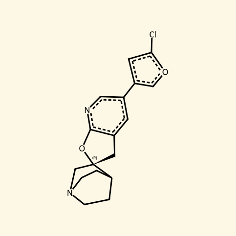 Clc1cc(-c2cnc3c(c2)C[C@@]2(CN4CCC2CC4)O3)co1